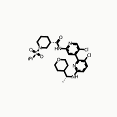 CC(C)S(=O)(=O)N1CCC[C@H](C(=O)Nc2cc(-c3nc(N[C@H](C)C4CCOCC4)ccc3Cl)c(Cl)cn2)C1